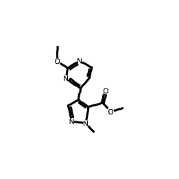 COC(=O)c1c(-c2ccnc(OC)n2)cnn1C